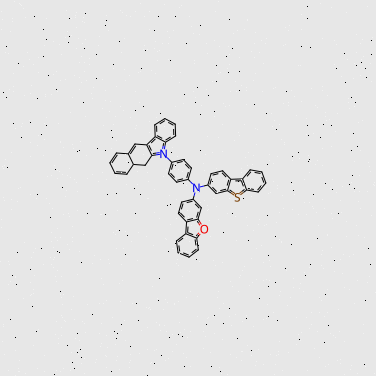 C1=CC2=Cc3c(n(-c4ccc(N(c5ccc6c(c5)oc5ccccc56)c5ccc6c(c5)sc5ccccc56)cc4)c4ccccc34)CC2C=C1